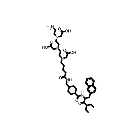 CCC(CC)C(=O)C(Cc1ccc2ccccc2c1)NC(=O)C1CCC(CNC(=O)CCCCN(CCN(CCN(CCN)CC(=O)O)CC(=O)O)CC(=O)O)CC1